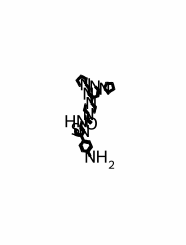 Nc1ccc(-c2csc(NC(=O)N3CCN(c4cc(N5CCCC5)nc(N5CCCC5)n4)CC3)n2)cc1